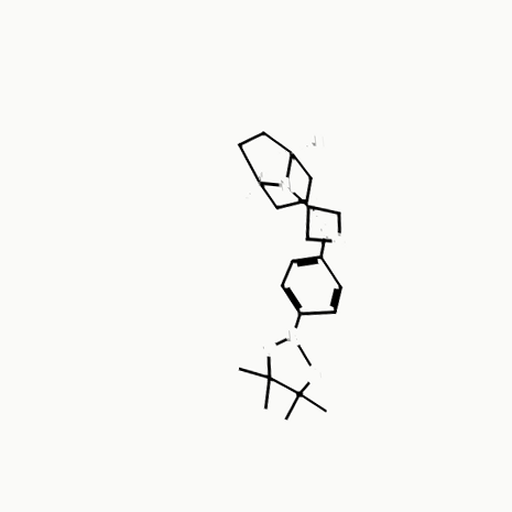 CC1(C)OB(c2ccc(O[C@@H]3C[C@H]4CC[C@@H](C3)N4C3COC3)cc2)OC1(C)C